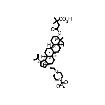 C=C(C)[C@@H]1CC[C@]2(CCN3CCN(S(C)(=O)=O)CC3)CC[C@]3(C)[C@H](CC[C@@H]4[C@@]5(C)CC[C@H](OC(=O)CC(C)(C)C(=O)O)C(C)(C)[C@@H]5CC[C@]43C)[C@@H]12